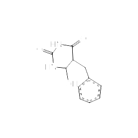 O=C1NC(=O)C(Cc2ccccc2)C(O)N1